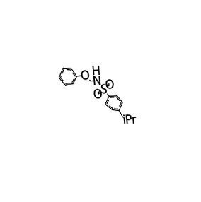 CC(C)c1ccc(S(=O)(=O)NCOc2ccccc2)cc1